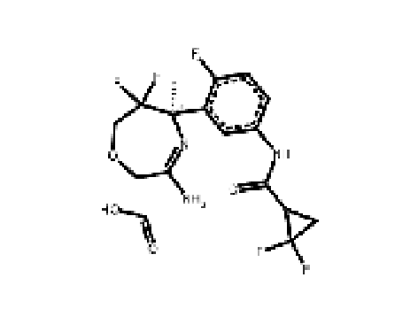 C[C@]1(c2cc(NC(=O)C3CC3(F)F)ccc2F)N=C(N)COCC1(F)F.O=CO